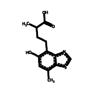 Cc1cc(O)c(CCC(C)C(=O)O)c2ncsc12